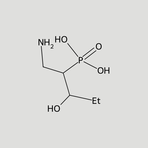 CCC(O)C(CN)P(=O)(O)O